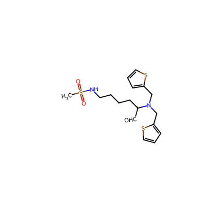 CS(=O)(=O)NCCCC[C](C=O)N(Cc1cccs1)Cc1cccs1